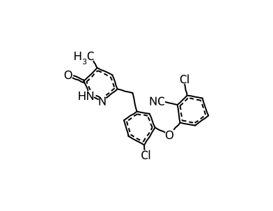 Cc1cc(Cc2ccc(Cl)c(Oc3cccc(Cl)c3C#N)c2)n[nH]c1=O